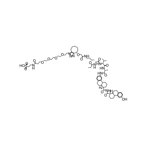 CCC(=O)N[C@H](CCCCNC(=O)COC1CCCCCc2c1nnn2CCOCCOCCOCCOCCC(=O)NCCS(=O)(=O)O)C(=O)N[C@H](C(=O)N[C@@H](C)C(=O)Nc1ccc2c(c1)[C@@]1(C)CCC[C@](C)(C(=O)NC(=O)[C@@]3(C)CCC[C@]4(C)c5cc(O)ccc5CC[C@@H]34)[C@@H]1CC2)C(C)C